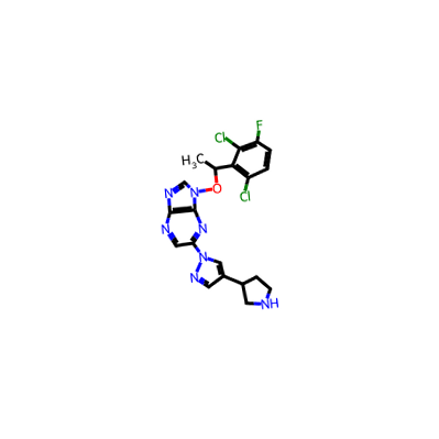 CC(On1cnc2ncc(-n3cc(C4CCNC4)cn3)nc21)c1c(Cl)ccc(F)c1Cl